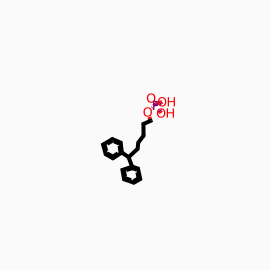 O=P(O)(O)OCCCCCC(c1ccccc1)c1ccccc1